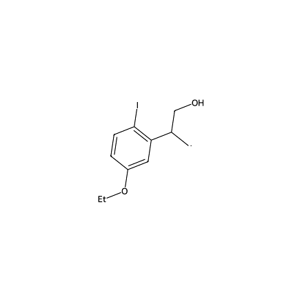 [CH2]C(CO)c1cc(OCC)ccc1I